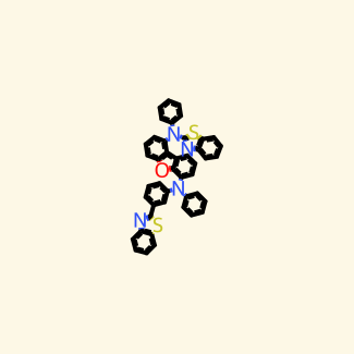 c1ccc(N(c2cccc(-c3nc4ccccc4s3)c2)c2cccc3c2oc2cccc(N(c4ccccc4)c4nc5ccccc5s4)c23)cc1